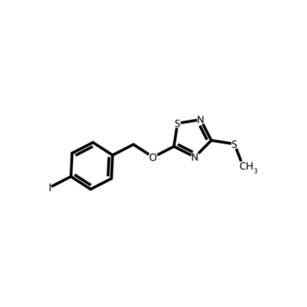 CSc1nsc(OCc2ccc(I)cc2)n1